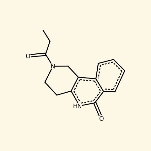 CCC(=O)N1CCc2[nH]c(=O)c3ccccc3c2C1